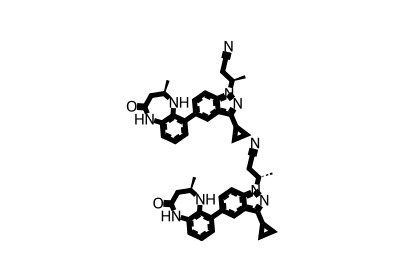 C[C@@H]1CC(=O)Nc2cccc(-c3ccc4c(c3)c(C3CC3)nn4[C@@H](C)CC#N)c2N1.C[C@@H]1CC(=O)Nc2cccc(-c3ccc4c(c3)c(C3CC3)nn4[C@H](C)CC#N)c2N1